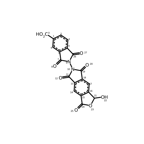 O=C(O)c1ccc2c(c1)C(=O)N(N1C(=O)c3cc4c(cc3C1=O)C(O)OC4=O)C2=O